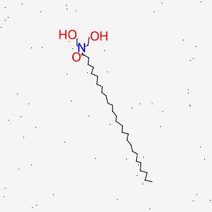 CCCCCCCCCCCCCCCCCCCCCCCCCCCC(=O)N(CCO)CCO